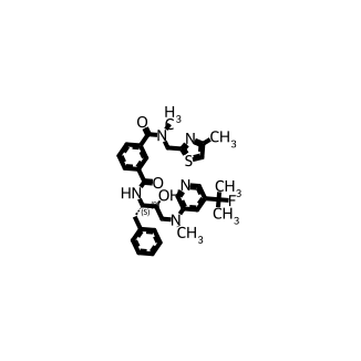 Cc1csc(CN(C)C(=O)c2cccc(C(=O)N[C@@H](Cc3ccccc3)[C@H](O)CN(C)c3cncc(C(C)(C)F)c3)c2)n1